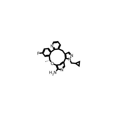 C[C@H]1Oc2cc(cnc2N)-c2c(cnn2CC2CC2)Cc2cccnc2-c2ccc(F)cc21